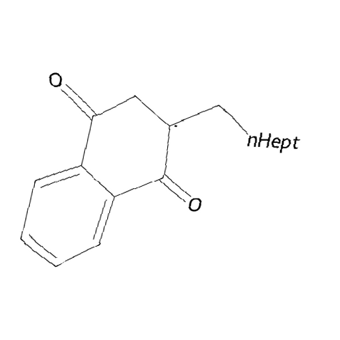 CCCCCCCC[C]1CC(=O)c2ccccc2C1=O